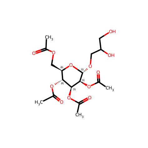 CC(=O)OC[C@H]1O[C@H](OCC(O)CO)[C@@H](OC(C)=O)[C@@H](OC(C)=O)[C@@H]1OC(C)=O